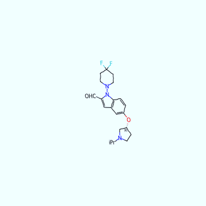 CC(C)N1CC[C@@H](Oc2ccc3c(c2)cc(C=O)n3N2CCC(F)(F)CC2)C1